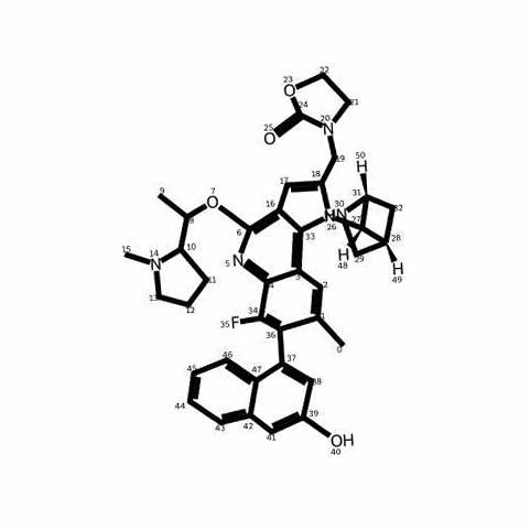 Cc1cc2c(nc(OC(C)C3CCCN3C)c3cc(CN4CCOC4=O)n([C@H]4[C@H]5CN[C@@H]4C5)c32)c(F)c1-c1cc(O)cc2ccccc12